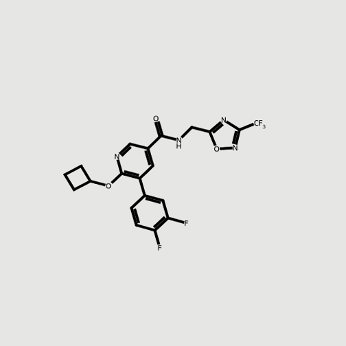 O=C(NCc1nc(C(F)(F)F)no1)c1cnc(OC2CCC2)c(-c2ccc(F)c(F)c2)c1